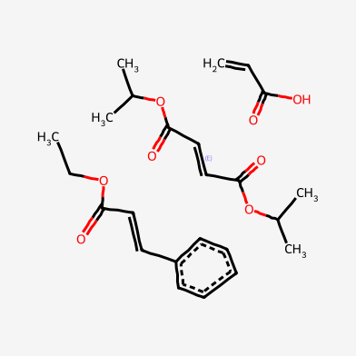 C=CC(=O)O.CC(C)OC(=O)/C=C/C(=O)OC(C)C.CCOC(=O)C=Cc1ccccc1